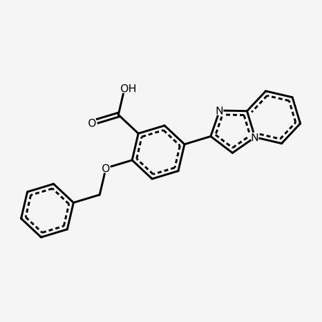 O=C(O)c1cc(-c2cn3ccccc3n2)ccc1OCc1ccccc1